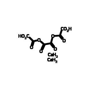 O=C(O)C(=O)OC(=O)C(=O)OC(=O)C(=O)O.[CaH2].[CaH2]